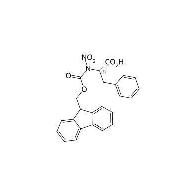 O=C(O)[C@H](Cc1ccccc1)N(C(=O)OCC1c2ccccc2-c2ccccc21)[N+](=O)[O-]